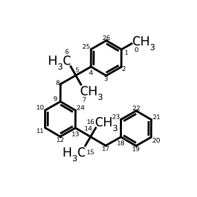 Cc1ccc(C(C)(C)Cc2cccc(C(C)(C)Cc3ccccc3)c2)cc1